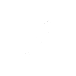 C\C=C/C(=C\C=C\N)CN1CCOCC1